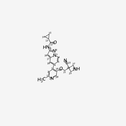 Cc1cc(-c2ccn3nc(NC(=O)C4CC4)cc3c2)c(OCC2(C#N)CNC2)cn1